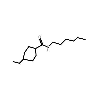 CCCCCCNC(=O)C1CCC(CC)CC1